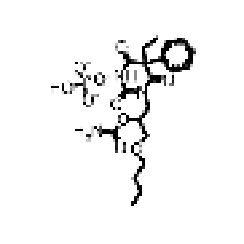 CCCCOCC(CN1C(=O)NC(=O)C(CC)(c2ccccc2)C1=O)OC(N)=O.[O-][I+3]([O-])([O-])O